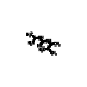 C=C(NC(=N)NC(C)N)N(C)C